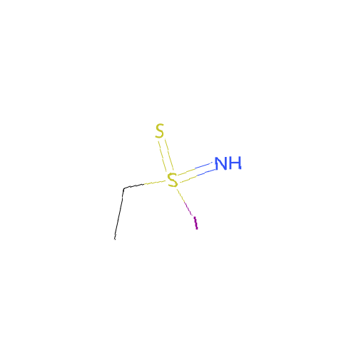 CCS(=N)(=S)I